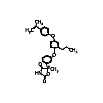 C=C(C)c1ccc(Oc2ccc(Oc3cccc([C@@]4(C)OC(=O)NC4=O)c3)c(CCC)c2)cc1